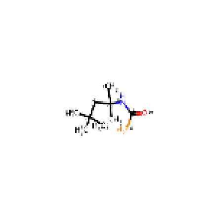 CC(C)(C)CC(C)(C)NC(=O)P